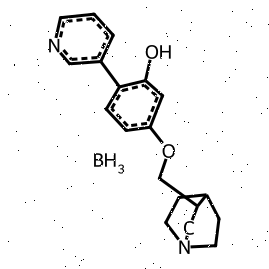 B.Oc1cc(OCC2CN3CCC2CC3)ccc1-c1cccnc1